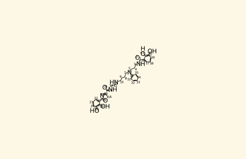 O=C(NCCCN(CCCCNCCNC(=O)[C@@H]1COC(c2cccc(O)c2O)=N1)c1ccccc1)c1cccc(O)c1O